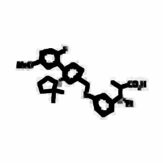 CC[C@H](c1cccc(SCc2ccc(-c3cc(OC)ccc3F)c([C@H]3CCCC3(C)C)c2)c1)C(C)C(=O)O